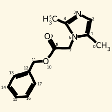 Cc1cnc(C)n1CC(=O)OCc1ccccc1